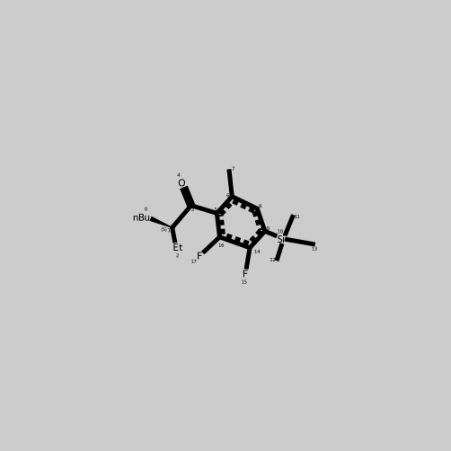 CCCC[C@H](CC)C(=O)c1c(C)cc([Si](C)(C)C)c(F)c1F